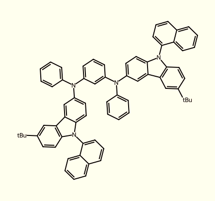 CC(C)(C)c1ccc2c(c1)c1cc(N(c3ccccc3)c3cccc(N(c4ccccc4)c4ccc5c(c4)c4cc(C(C)(C)C)ccc4n5-c4cccc5ccccc45)c3)ccc1n2-c1cccc2ccccc12